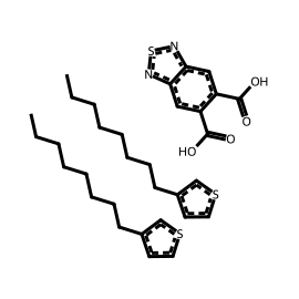 CCCCCCCCc1ccsc1.CCCCCCCCc1ccsc1.O=C(O)c1cc2nsnc2cc1C(=O)O